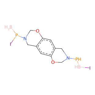 BP(I)N1COc2cc3c(cc2C1)OCN(PBI)C3